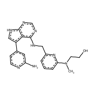 CN(CCO)c1cccc(CNc2ncnc3[nH]cc(-c4ccnc(N)c4)c23)n1